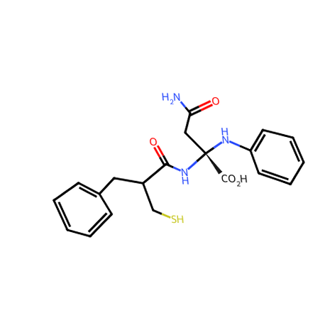 NC(=O)C[C@@](NC(=O)C(CS)Cc1ccccc1)(Nc1ccccc1)C(=O)O